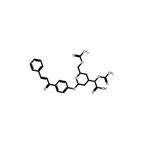 CC(=O)OCC1CC(C(OC(C)=O)C(=O)O)CC(Oc2ccc(C(=O)C=Cc3ccccc3)cc2)O1